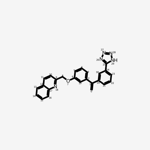 C=C(c1cccc(OCc2ccc3ccccc3n2)c1)c1cccc(-c2nnn[nH]2)c1